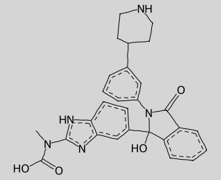 CN(C(=O)O)c1nc2cc(C3(O)c4ccccc4C(=O)N3c3cccc(C4CCNCC4)c3)ccc2[nH]1